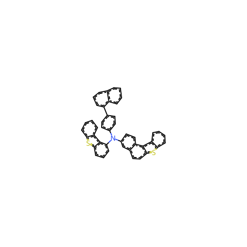 c1ccc2c(-c3ccc(N(c4ccc5c(ccc6sc7ccccc7c65)c4)c4cccc5sc6ccccc6c45)cc3)cccc2c1